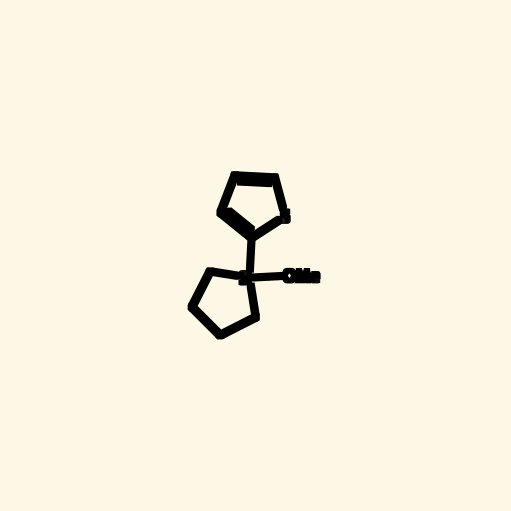 CO[Si]1(c2cccs2)CCCC1